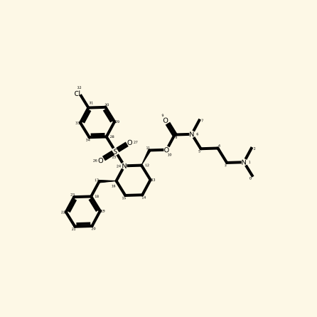 CN(C)CCCN(C)C(=O)OC[C@H]1CCC[C@@H](Cc2ccccc2)N1S(=O)(=O)c1ccc(Cl)cc1